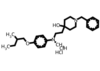 CCC(C)COc1ccc(N(C)CCC2(O)CCN(Cc3ccccc3)CC2)cc1.Cl.Cl